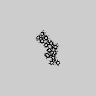 c1ccc(-n2c3ccccc3c3cc([Si](c4ccccc4)(c4ccccc4)c4cccc(-n5c6ccccc6c6ccc7c(c8ccccc8n7-c7cccc([Si](c8ccccc8)(c8ccccc8)c8ccccc8)c7)c65)c4)ccc32)cc1